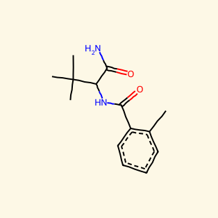 Cc1ccccc1C(=O)NC(C(N)=O)C(C)(C)C